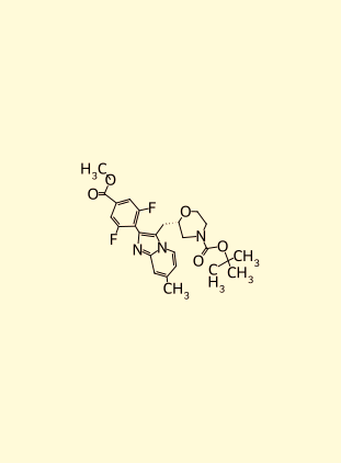 COC(=O)c1cc(F)c(-c2nc3cc(C)ccn3c2C[C@H]2CN(C(=O)OC(C)(C)C)CCO2)c(F)c1